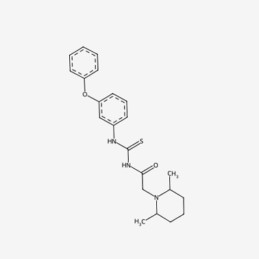 CC1CCCC(C)N1CC(=O)NC(=S)Nc1cccc(Oc2ccccc2)c1